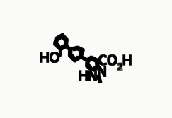 Cc1nc2c(C(=O)O)cc(-c3ccc(-c4ccccc4CO)cc3)cc2[nH]1